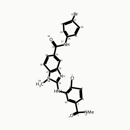 CNC(=O)c1ccc(Cl)c(Nc2nc3cc(C(=O)Nc4ccc(Br)cc4)ccc3n2C)c1